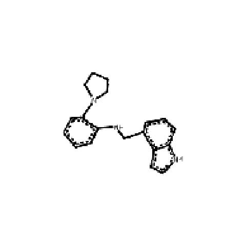 c1ccc(N2CCCC2)c(NCc2cccc3[nH]ccc23)c1